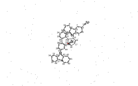 N#Cc1ccc2c(c1)c1ccccc1n2C1C=CC=CC1c1ccccc1-c1ccc(-n2c3ccccc3c3ccccc32)cc1C#N